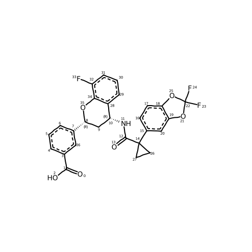 O=C(O)c1cccc([C@H]2C[C@@H](NC(=O)C3(c4ccc5c(c4)OC(F)(F)O5)CC3)c3cccc(F)c3O2)c1